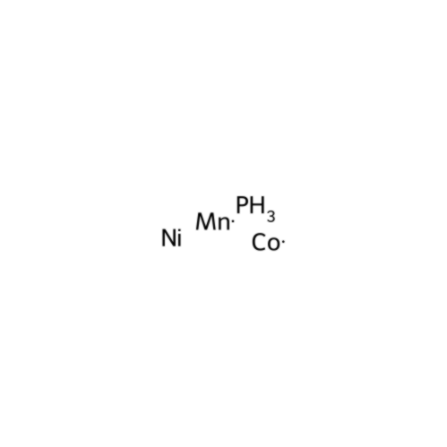 P.[Co].[Mn].[Ni]